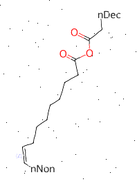 CCCCCCCCC/C=C\CCCCCCCC(=O)OC(=O)CCCCCCCCCCC